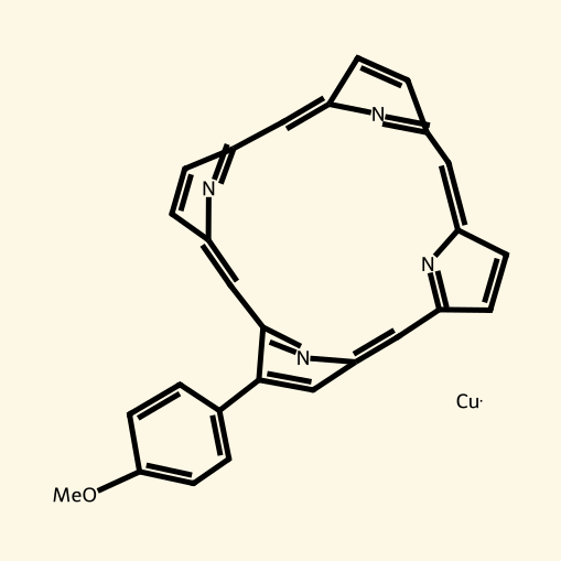 COc1ccc(C2=CC3=CC4=NC(=CC5=NC(=CC6=NC(=CC2=N3)C=C6)C=C5)C=C4)cc1.[Cu]